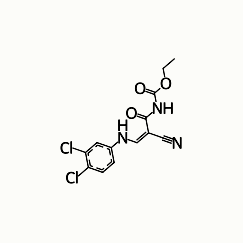 CCOC(=O)NC(=O)C(C#N)=CNc1ccc(Cl)c(Cl)c1